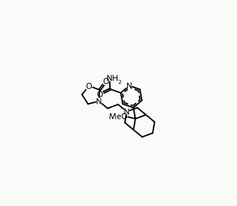 COC1(c2ccnc(C(N)=O)c2)C2CCCC1CN(CCN1CCOC1=O)C2